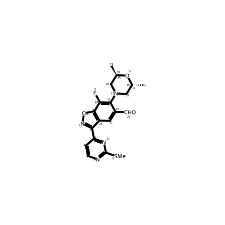 CSc1nccc(-c2noc3c(F)c(N4C[C@@H](C)O[C@H](C)C4)c(C=O)cc23)n1